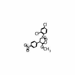 COC(=O)C(C[N+](=O)c1ccc(Cl)cc1Cl)c1ccc([N+](=O)[O-])cc1